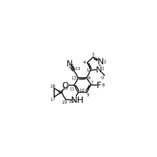 Cn1nccc1-c1c(F)cc2c(c1C#N)OC1(CC1)CN2